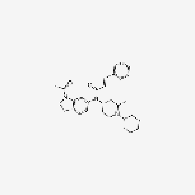 CC(=O)N1CCc2ccc(N(C(=O)C=Cc3ccccc3)C3CCN(C4CCCCC4)C(C)C3)cc21